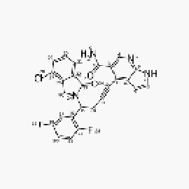 NC(=O)c1cnc2[nH]ccc2c1C#CCC(c1cc(F)ccc1F)N1Cc2c(Cl)cccc2C1=O